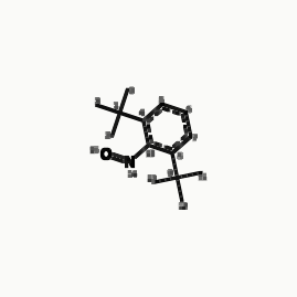 CC(C)(C)c1cccc(C(C)(C)C)c1N=O